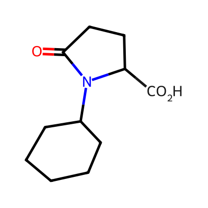 O=C(O)C1CCC(=O)N1C1CCCCC1